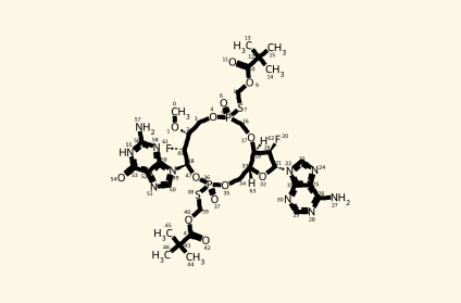 CO[C@@H]1COP(=O)(SCOC(=O)C(C)(C)C)CO[C@H]2[C@@H](F)[C@H](n3cnc4c(N)ncnc43)O[C@@H]2COP(=O)(SCOC(=O)C(C)(C)C)O[C@@H](n2cnc3c(=O)[nH]c(N)nc32)[C@@H]1F